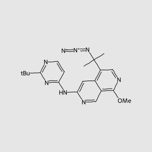 COc1ncc(C(C)(C)N=[N+]=[N-])c2cc(Nc3ccnc(C(C)(C)C)n3)ncc12